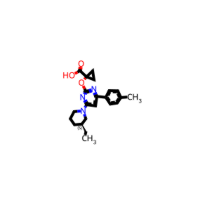 CC[C@H]1CCCN(c2cc(-c3ccc(C)cc3)nc(OC3(C(=O)O)CC3)n2)C1